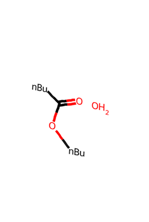 CCCCOC(=O)CCCC.O